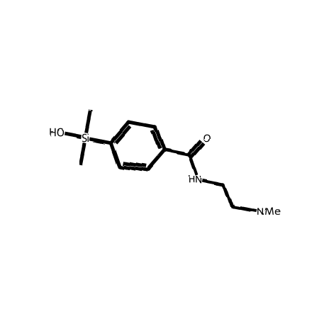 CNCCNC(=O)c1ccc([Si](C)(C)O)cc1